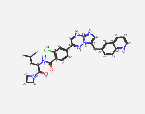 CC(C)CC(NC(=O)c1ccc(-c2cnc3ncc(Cc4ccc5ncccc5c4)n3n2)cc1Cl)C(=O)N1CCC1